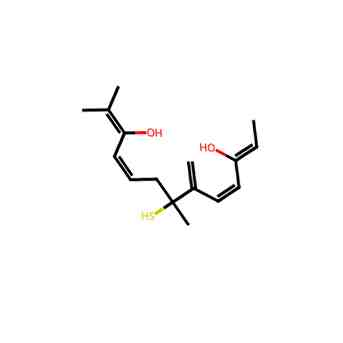 C=C(/C=C\C(O)=C\C)C(C)(S)C/C=C\C(O)=C(C)C